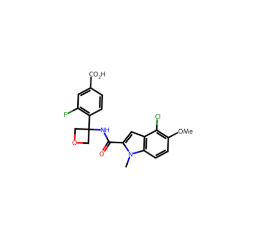 COc1ccc2c(cc(C(=O)NC3(c4ccc(C(=O)O)cc4F)COC3)n2C)c1Cl